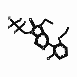 CCSc1ccc[n+]([O-])c1-c1cc2c(cn1)n(CC(F)(F)C(F)(F)F)c(=O)n2CC